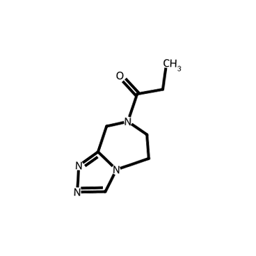 CCC(=O)N1CCn2cnnc2C1